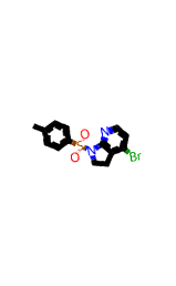 Cc1ccc(S(=O)(=O)N2CCc3c(Br)ccnc32)cc1